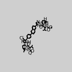 COC(=O)N[C@H](C(=O)N1C2C(C)C2C[C@H]1c1nc(Cl)c(-c2ccc(-c3ccc4cc(-c5cnc([C@@H]6C[C@H]7C[C@H]7N6C(=O)[C@@H](NC(=O)OC)C(C)C)[nH]5)ccc4c3)cc2)[nH]1)C(C)C